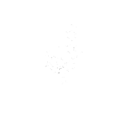 CC(=O)c1cn2c3c(cc(-c4cnc(C)nc4)cc13)CCCCCCC(=O)NC[C@@]13C[C@@H](C(=O)Nc4nc(C(F)(F)F)ccc4C)N(C(=O)C2)C1C3C